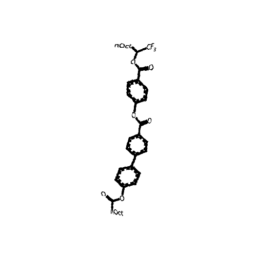 CCCCCCCCC(=O)Oc1ccc(-c2ccc(C(=O)Oc3ccc(C(=O)OC(CCCCCCCC)C(F)(F)F)cc3)cc2)cc1